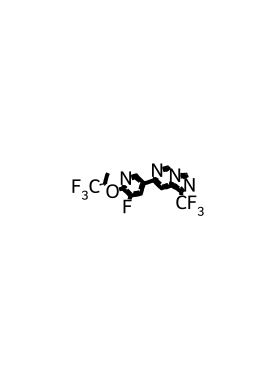 C[C@H](Oc1ncc(-c2cc3c(C(F)(F)F)ncn3cn2)cc1F)C(F)(F)F